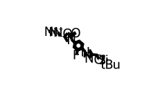 CC(C)(C)[Si](C)(C)OCc1cn(-c2ccc(N3C[C@H](CN=[N+]=[N-])OC3=O)cc2F)cn1